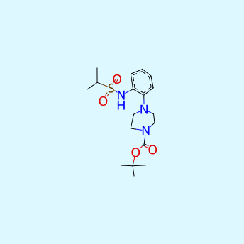 CC(C)S(=O)(=O)Nc1ccccc1N1CCN(C(=O)OC(C)(C)C)CC1